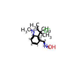 CC1=[N+](C)c2cccc(C=NO)c2C1(C)C.[Cl-]